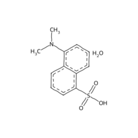 CN(C)c1cccc2c(S(=O)(=O)O)cccc12.O